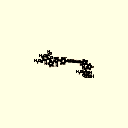 COC(=O)N[C@@H](C(=O)N1CCC[C@@H]1c1ncc(-c2ccc(C#CC#CC#Cc3cnc([C@H]4CCCN4C(=O)[C@H](NC(=O)O)C(C)C)[nH]3)cc2)[nH]1)C(C)C